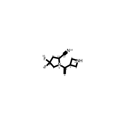 C=C(C1CNC1)N1CC(F)(F)CC1C#N